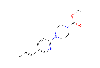 CCC=Cc1ccc(N2CCN(C(=O)OC(C)(C)C)CC2)nc1